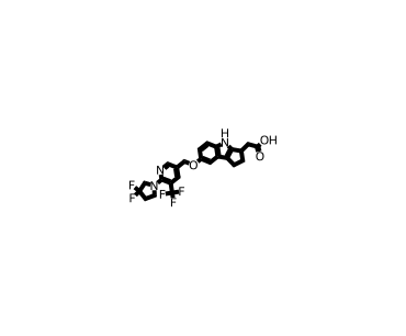 O=C(O)CC1CCc2c1[nH]c1ccc(OCc3cnc(N4CCC(F)(F)C4)c(C(F)(F)F)c3)cc21